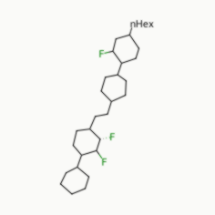 CCCCCCC1CCC(C2CCC(CCC3CCC(C4CCCCC4)C(F)[C@H]3F)CC2)C(F)C1